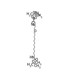 CC(C)(C)OC(=O)NCCCCCCCCCCCCOCCn1cc(B2OC(C)(C)C(C)(C)O2)cn1